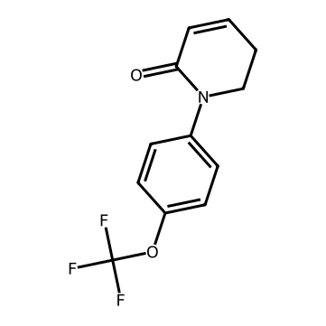 O=C1C=CCCN1c1ccc(OC(F)(F)F)cc1